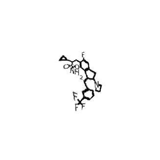 NS(=O)(=O)C(Cc1cc2c(cc1F)CC(N1CCC1)C2Cc1cccc(C(F)(F)F)c1)C1CC1